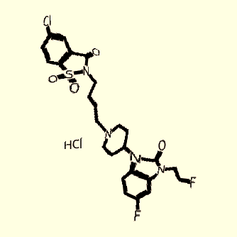 Cl.O=C1c2cc(Cl)ccc2S(=O)(=O)N1CCCCN1CCC(n2c(=O)n(CCF)c3cc(F)ccc32)CC1